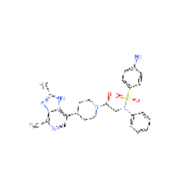 Cc1nc2c(C)ncc(C3CCN(C(=O)CN(c4ccccc4)S(=O)(=O)c4ccc(N)cc4)CC3)c2[nH]1